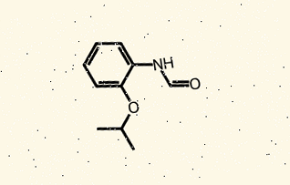 CC(C)Oc1ccccc1NC=O